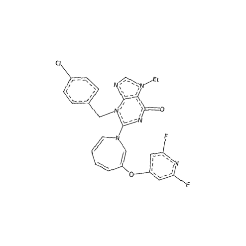 CCn1cnc2c1c(=O)nc(N1C=CC=CC(Oc3cc(F)nc(F)c3)=C1)n2Cc1ccc(Cl)cc1